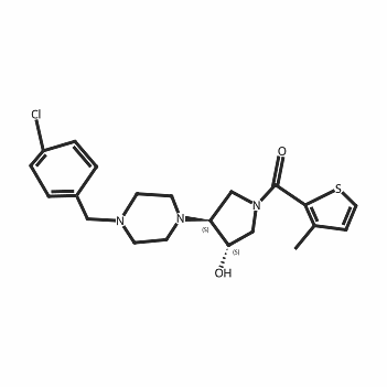 Cc1ccsc1C(=O)N1C[C@H](O)[C@@H](N2CCN(Cc3ccc(Cl)cc3)CC2)C1